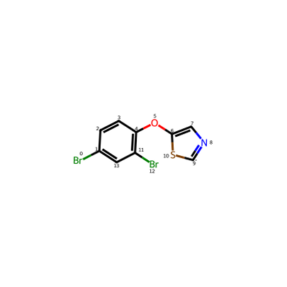 Brc1ccc(Oc2cn[c]s2)c(Br)c1